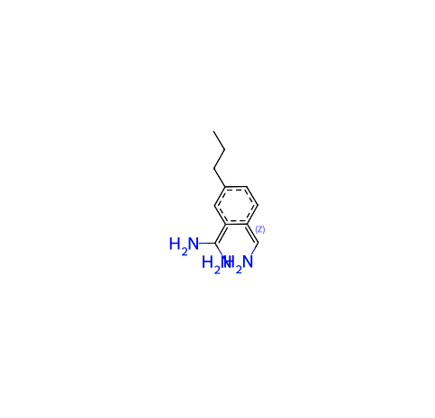 CCCc1cc/c(=C/N)c(=C(N)N)c1